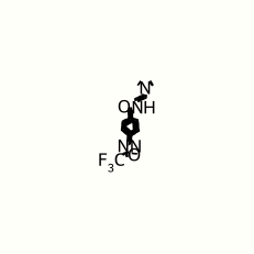 CN(C)CCNC(=O)c1ccc(-c2noc(C(F)(F)F)n2)cc1